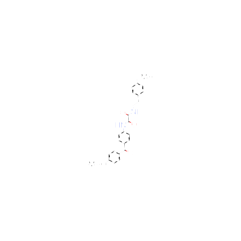 COc1ccc(CCNC(=O)C(=O)Nc2ccc(C(=O)c3ccc(OC)cc3)cc2)cc1